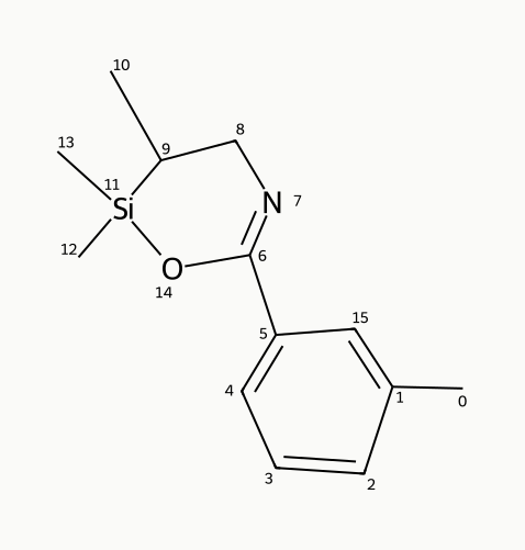 Cc1cccc(C2=NCC(C)[Si](C)(C)O2)c1